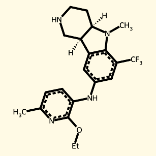 CCOc1nc(C)ccc1Nc1cc2c(c(C(F)(F)F)c1)N(C)[C@@H]1CCNC[C@H]21